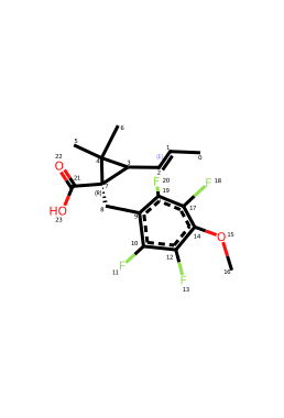 C/C=C/C1C(C)(C)[C@]1(Cc1c(F)c(F)c(OC)c(F)c1F)C(=O)O